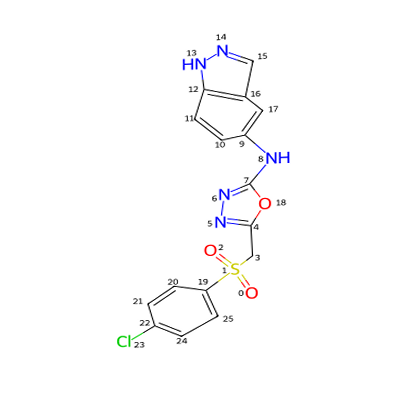 O=S(=O)(Cc1nnc(Nc2ccc3[nH]ncc3c2)o1)c1ccc(Cl)cc1